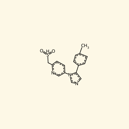 Cc1ccc(-c2cncn2-c2ccc(C[SH](=O)=O)nc2)cc1